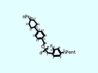 CCCCCc1ccc(CC(F)(F)OCc2ccc(C3CCC(CCC)CC3)cc2)c(F)c1